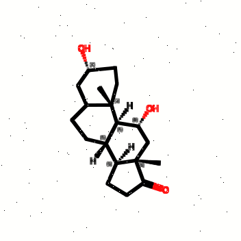 C[C@]12CC[C@@H](O)CC1CC[C@@H]1[C@@H]2[C@H](O)C[C@]2(C)C(=O)CC[C@@H]12